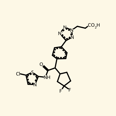 O=C(O)CCn1nnc(-c2ccc(C(C(=O)Nc3ncc(Cl)s3)C3CCC(F)(F)C3)cc2)n1